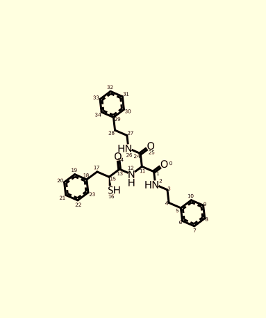 O=C(NCCc1ccccc1)C(NC(=O)[C@@H](S)Cc1ccccc1)C(=O)NCCc1ccccc1